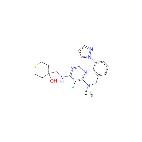 CN(Cc1cccc(-n2cccn2)c1)c1ncnc(NCC2(O)CCSCC2)c1F